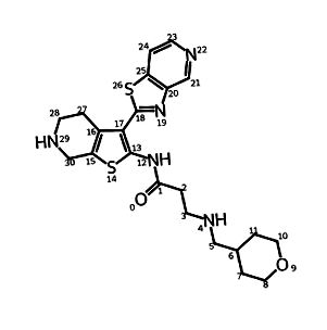 O=C(CCNCC1CCOCC1)Nc1sc2c(c1-c1nc3cnccc3s1)CCNC2